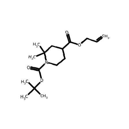 C=CCOC(=O)C1CCN(C(=O)OC(C)(C)C)C(C)(C)C1